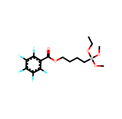 CCO[Si](CCCCOC(=O)c1c(F)c(F)c(F)c(F)c1F)(OC)OC